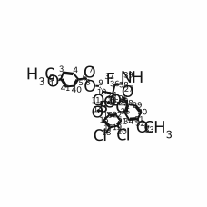 COc1ccc(C(=O)OC[C@@H](OS(=O)(=O)c2cc(Cl)c(Cl)cc2Cl)[C@@H](OC(=O)c2ccc(OC)cc2)[C@H](F)C=N)cc1